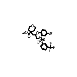 COC(=O)C1(CC2CN(S(=O)(=O)c3cccc(C(F)(F)F)c3)c3cc(Br)ccc3O2)CCOCC1